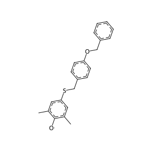 Cc1cc(SCc2ccc(OCc3ccccc3)cc2)cc(C)c1[O]